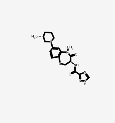 C[C@@H]1CCCN(c2ccc3c(c2)N(C)C(=O)[C@@H](NC(=O)c2nc[nH]n2)CS3)C1